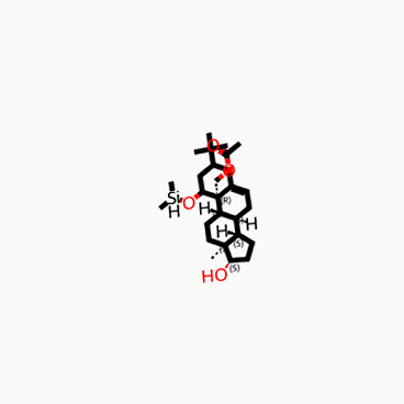 CC(=O)OC[C@]12C(=CC[C@H]3[C@@H]4CC[C@H](O)[C@@]4(C)CC[C@@H]31)CC(C(C)(C)C)CC2O[SiH](C)C